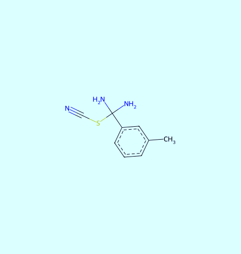 Cc1cccc(C(N)(N)SC#N)c1